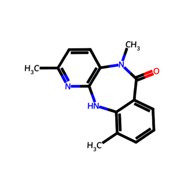 Cc1ccc2c(n1)Nc1c(C)cccc1C(=O)N2C